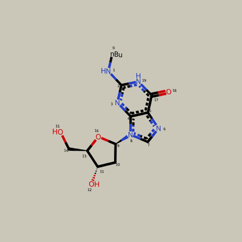 CCCCNc1nc2c(ncn2[C@H]2C[C@H](O)[C@@H](CO)O2)c(=O)[nH]1